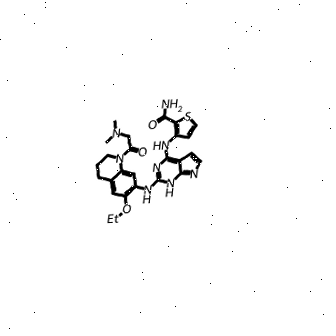 CCOc1cc2c(cc1Nc1nc(Nc3ccsc3C(N)=O)c3ccnc-3[nH]1)N(C(=O)CN(C)C)CCC2